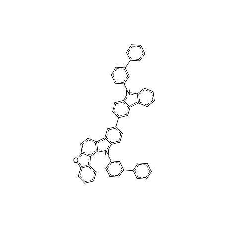 c1ccc(-c2cccc(-n3c4ccccc4c4cc(-c5ccc6c(c5)c5ccc7oc8ccccc8c7c5n6-c5cccc(-c6ccccc6)c5)ccc43)c2)cc1